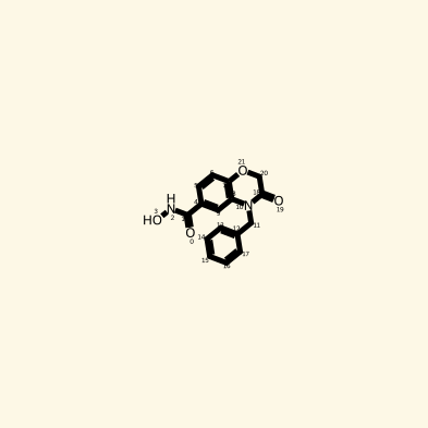 O=C(NO)c1ccc2c(c1)N(Cc1ccccc1)C(=O)CO2